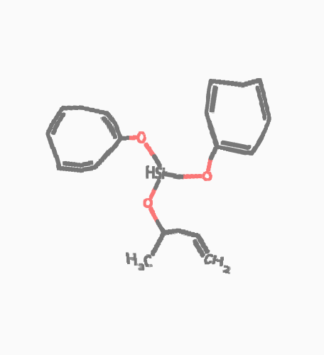 C=CC(C)O[SiH](Oc1ccccc1)Oc1ccccc1